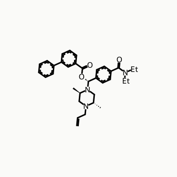 C=CCN1C[C@@H](C)N([C@H](OC(=O)c2cccc(-c3ccccc3)c2)c2ccc(C(=O)N(CC)CC)cc2)C[C@@H]1C